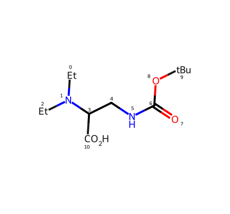 CCN(CC)C(CNC(=O)OC(C)(C)C)C(=O)O